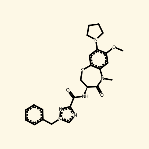 COc1cc2c(cc1N1CCCC1)SC[C@H](NC(=O)c1ncn(Cc3ccccc3)n1)C(=O)N2C